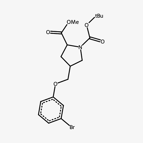 COC(=O)C1CC(COc2cccc(Br)c2)CN1C(=O)OC(C)(C)C